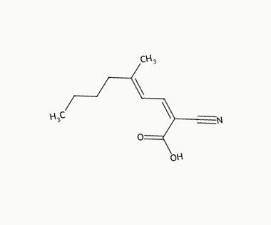 CCCCC(C)=CC=C(C#N)C(=O)O